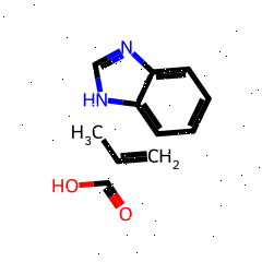 C=CC.O=CO.c1ccc2[nH]cnc2c1